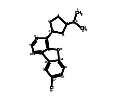 CN(C)C1CCN(c2ncnc3c2oc2ccc(Cl)cc23)C1